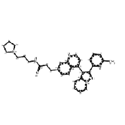 Cc1cccc(-c2nn3ccccc3c2-c2ccnc3cc(CCC(=O)NCCCN4CCCC4)ccc23)n1